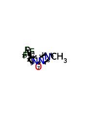 CCN1CCN(C(=O)N2CCC(C(F)(F)F)C2)CC1